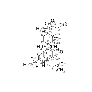 CC1(C)CC[C@]2(NC(=O)C(C)(F)F)CC[C@]3(C)C(C(=O)C=C4[C@@]5(C)C=C(C#N)C(=O)C(C)(C)[C@@H]5CC[C@]43C)[C@H]2C1